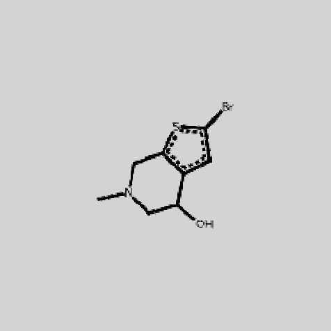 CN1Cc2sc(Br)cc2C(O)C1